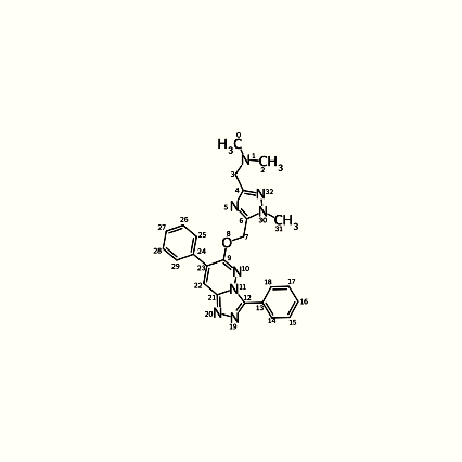 CN(C)Cc1nc(COc2nn3c(-c4ccccc4)nnc3cc2-c2ccccc2)n(C)n1